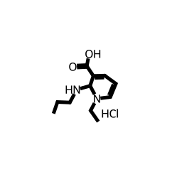 CCCNC1C(C(=O)O)=CC=CN1CC.Cl